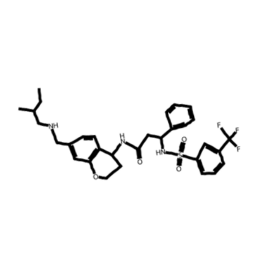 CCC(C)CNCc1ccc2c(c1)OCCC2NC(=O)CC(NS(=O)(=O)c1cccc(C(F)(F)F)c1)c1ccccc1